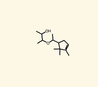 CC1=CCC(C(C)OC(C)C(C)O)C1(C)C